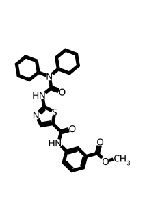 COC(=O)c1cccc(NC(=O)c2cnc(NC(=O)N(C3CCCCC3)C3CCCCC3)s2)c1